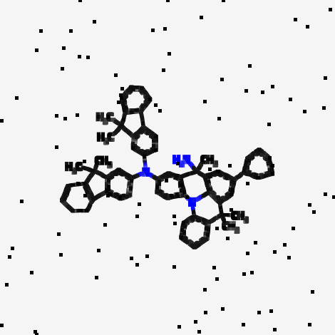 CC1(C)C2=C(CCC=C2)c2ccc(N(c3ccc4c(c3)C(C)(C)c3ccccc3-4)c3ccc4c(c3)C(C)(N)c3cc(-c5ccccc5)cc5c3N4c3ccccc3C5(C)C)cc21